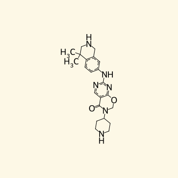 CC1(C)CNCc2cc(Nc3ncc4c(n3)OCN(C3CCNCC3)C4=O)ccc21